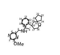 COc1cncc(CNCC[C@@]2(c3ccccn3)CCOC3(CCCC3)C2)n1